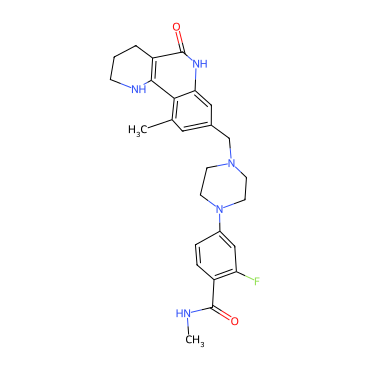 CNC(=O)c1ccc(N2CCN(Cc3cc(C)c4c5c(c(=O)[nH]c4c3)CCCN5)CC2)cc1F